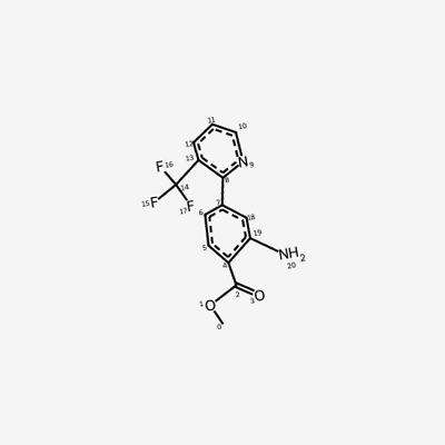 COC(=O)c1ccc(-c2ncccc2C(F)(F)F)cc1N